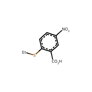 CCSc1ccc([N+](=O)[O-])cc1C(=O)O